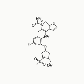 CC1=C(Nc2ccc(F)cc2OC2CC(CO)N(S(C)(=O)=O)C2)c2ccsc2CN1C(N)=O